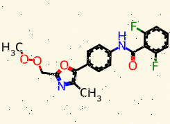 COOCc1nc(C)c(-c2ccc(NC(=O)c3c(F)cccc3F)cc2)o1